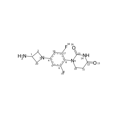 NC1CN(c2cc(F)c(N3CCC(=O)NC3=O)c(F)c2)C1